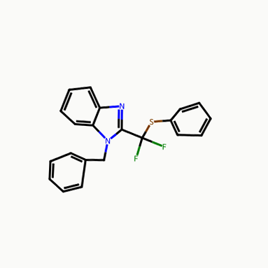 FC(F)(Sc1ccccc1)c1nc2ccccc2n1Cc1ccccc1